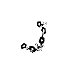 CN(C1CCCC1)C1CCN(c2ccc(NC(=O)Nc3ccc(OC4CCCC4)nc3)cc2)C1